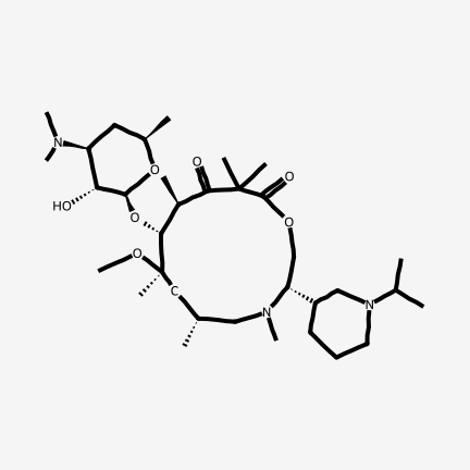 CO[C@]1(C)C[C@@H](C)CN(C)[C@@H](C2CCCN(C(C)C)C2)COC(=O)C(C)(C)C(=O)[C@H](C)[C@H]1O[C@@H]1O[C@H](C)C[C@H](N(C)C)[C@H]1O